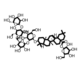 CC1(C)CC[C@]2(C(=O)O[C@@H]3O[C@H](CO)[C@@H](O)[C@H](O)[C@H]3O)CC[C@]3(C)C(=CCC4[C@@]5(C)CC[C@H](O[C@@H]6O[C@H](CO)[C@@H](O)[C@H](O[C@@H]7O[C@H](CO)[C@@H](O)[C@H](O[C@@H]8O[C@H](CO)[C@@H](O)[C@H](O)[C@H]8O)[C@H]7O)[C@H]6O[C@@H]6O[C@H](CO)[C@@H](O)[C@H](O)[C@H]6O)C(C)(C)[C@@H]5CC[C@]43C)[C@@H]2C1